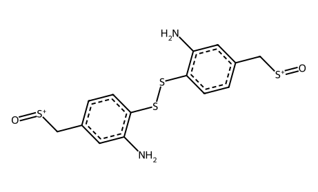 Nc1cc(C[S+]=O)ccc1SSc1ccc(C[S+]=O)cc1N